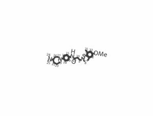 COc1cc(C)c(SN(C)CCC(=O)Nc2ccc(N3CCCC(N(C)C)CC3)cc2)c(C)c1